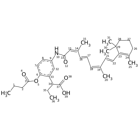 CCCC(=O)Oc1ccc(NC(=O)C=C(C)C=CC=C(C)C=CC2=C(C)CCCC2(C)C)cc1C(CC)C(=O)O